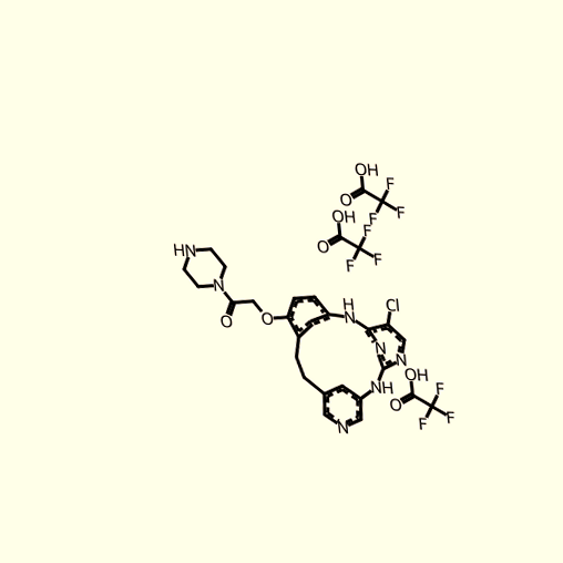 O=C(COc1ccc2cc1CCc1cncc(c1)Nc1ncc(Cl)c(n1)N2)N1CCNCC1.O=C(O)C(F)(F)F.O=C(O)C(F)(F)F.O=C(O)C(F)(F)F